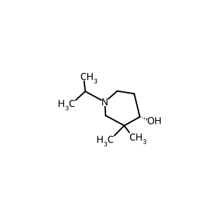 CC(C)N1CC[C@H](O)C(C)(C)C1